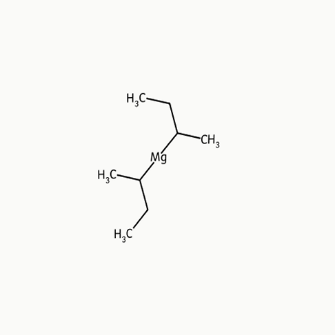 CC[CH](C)[Mg][CH](C)CC